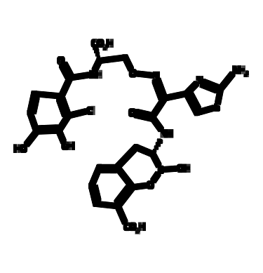 Nc1nc(/C(=N/OC[C@H](NC(=O)c2ccc(O)c(O)c2Cl)C(=O)O)C(=O)N[C@H]2Cc3cccc(C(=O)O)c3OB2O)cs1